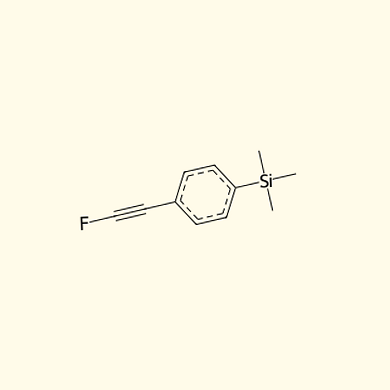 C[Si](C)(C)c1ccc(C#CF)cc1